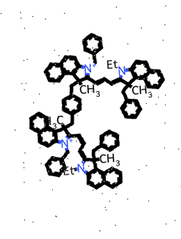 CCN1C(=CC=CC2=[N+](Cc3ccccc3)c3ccc4ccccc4c3C2(C)Cc2ccc(CC3(C)C(C=CC=C4N(CC)c5ccc6ccccc6c5C4(C)Cc4ccccc4)=[N+](Cc4ccccc4)c4ccc5ccccc5c43)cc2)C(C)(Cc2ccccc2)c2c1ccc1ccccc21